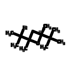 CCC(C)(C)[Si]1(C)C[C@](C)([Si](C)(C)C)O1